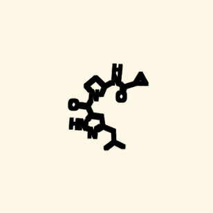 CC(C)Cc1cc(C(=O)N2CCC(NC(=O)C3CC3)C2)[nH]n1